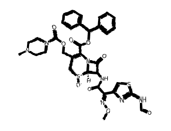 CO/N=C(/C(=O)NC1C(=O)N2C(C(=O)OC(c3ccccc3)c3ccccc3)=C(COC(=O)N3CCN(C)CC3)C[S+]([O-])[C@H]12)c1csc(NC=O)n1